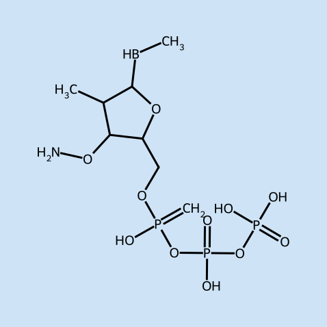 C=P(O)(OCC1OC(BC)C(C)C1ON)OP(=O)(O)OP(=O)(O)O